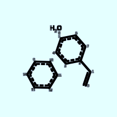 C=Cc1ccccc1.O.c1ccccc1